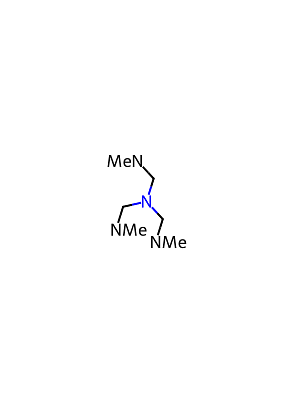 CNCN(CNC)CNC